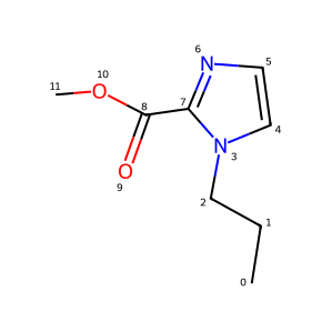 CCCn1ccnc1C(=O)OC